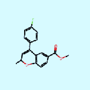 COC(=O)c1ccc2c(c1)C(c1ccc(F)cc1)=CC(C)O2